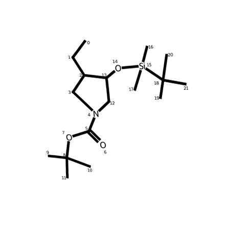 CCC1CN(C(=O)OC(C)(C)C)CC1O[Si](C)(C)C(C)(C)C